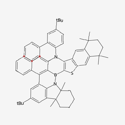 CC(C)(C)c1ccc(N2c3cc4ccccc4c4c3B(c3sc5cc6c(cc5c32)C(C)(C)CCC6(C)C)N2c3c-4cc(C(C)(C)C)cc3C3(C)CCCCC23C)c(-c2ccccc2)c1